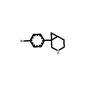 Brc1ccc(C23CNCCC2C3)cc1